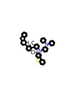 Cc1ccc(C2C=CC3=C(C2)c2ccccc2C3)cc1-c1cc(N(c2cccc(N(c3ccccc3)c3ccccc3)c2)c2ccc3sc4ccccc4c3c2)ccc1C